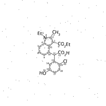 CCOC(=O)c1c(C)n(CC)c2cccc(C(C(=O)O)c3cc(O)ccc3Cl)c12